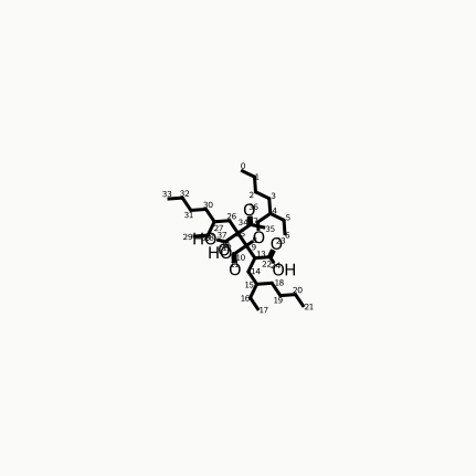 CCCCC(CC)COC(C(=O)O)(C(CC(CC)CCCC)C(=O)O)C(CC(CC)CCCC)(C(C)=O)C(=O)O